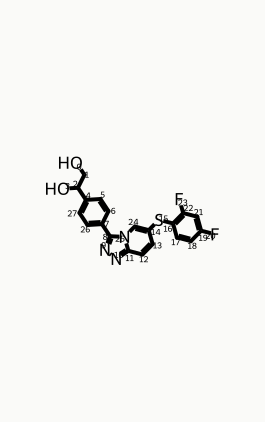 OCC(O)c1ccc(-c2nnc3ccc(Sc4ccc(F)cc4F)cn23)cc1